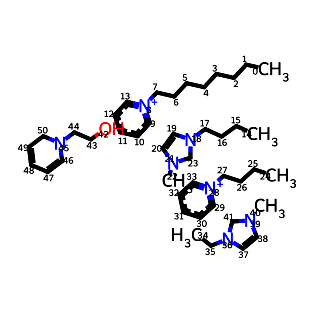 CCCCCCCC[n+]1ccccc1.CCCCN1C=CN(C)C1.CCCC[n+]1ccccc1.CCN1C=CN(C)C1.OCCN1C=CC=CC1